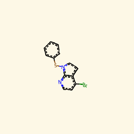 Brc1ccnc2c1ccn2Sc1ccccc1